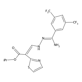 CC(C)OC(=O)/C(=C/N/N=C(\N)c1cc(C(F)(F)F)cc(C(F)(F)F)c1)c1nccs1